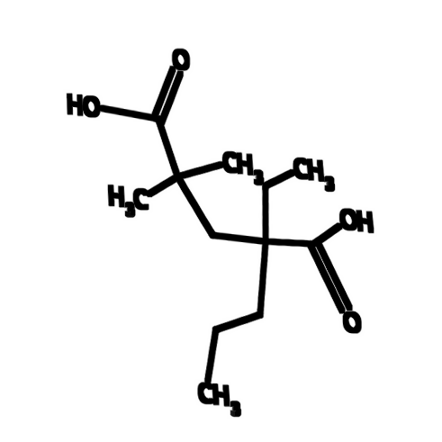 CCCC(CC)(CC(C)(C)C(=O)O)C(=O)O